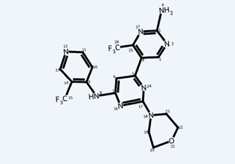 Nc1ncc(-c2cc(Nc3ccncc3C(F)(F)F)nc(N3CCOCC3)n2)c(C(F)(F)F)n1